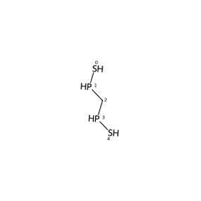 SPCPS